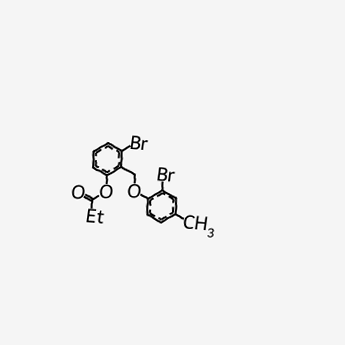 CCC(=O)Oc1cccc(Br)c1COc1ccc(C)cc1Br